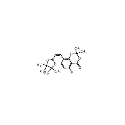 CC1(C)OC(=O)c2c(F)ccc(/C=C\B3OC(C)(C)C(C)(C)O3)c2O1